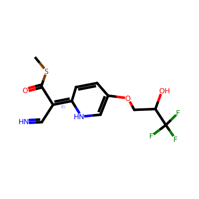 CSC(=O)/C(C=N)=C1\C=CC(OCC(O)C(F)(F)F)=CN1